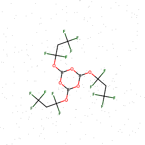 FC(F)(F)CC(F)(F)OB1OB(OC(F)(F)CC(F)(F)F)OB(OC(F)(F)CC(F)(F)F)O1